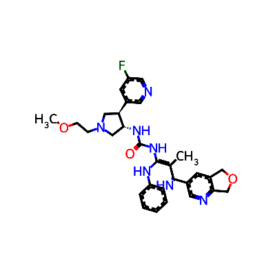 COCCN1C[C@@H](NC(=O)N/C(Nc2ccccc2)=C(\C)C(=N)c2cnc3c(c2)COC3)[C@H](c2cncc(F)c2)C1